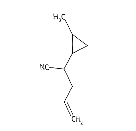 C=CCC(C#N)C1CC1C